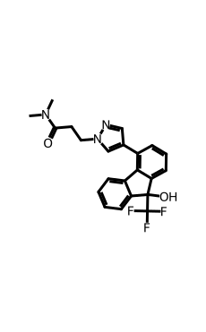 CN(C)C(=O)CCn1cc(-c2cccc3c2-c2ccccc2C3(O)C(F)(F)F)cn1